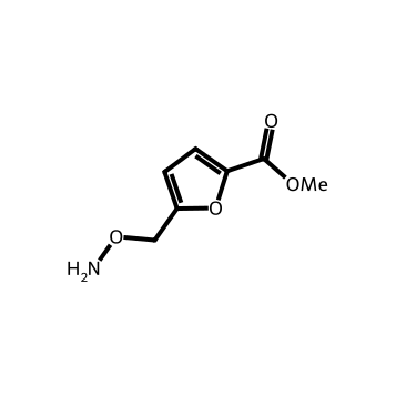 COC(=O)c1ccc(CON)o1